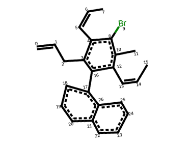 C=CCc1c(/C=C\C)c(Br)c(C)c(/C=C\C)c1-c1cccc2ccccc12